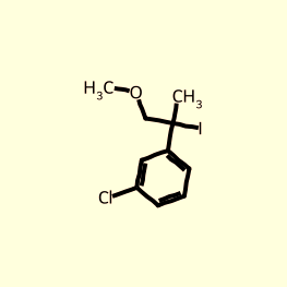 COCC(C)(I)c1cccc(Cl)c1